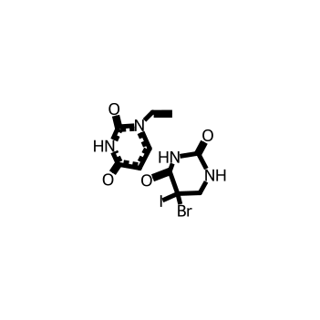 C=Cn1ccc(=O)[nH]c1=O.O=C1NCC(Br)(I)C(=O)N1